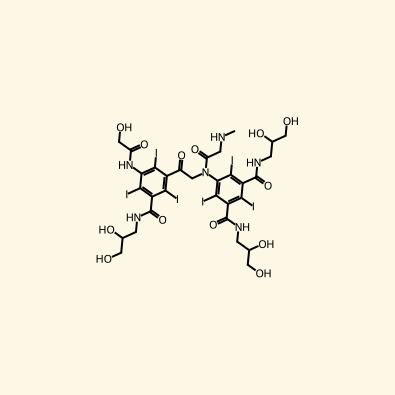 CNCC(=O)N(CC(=O)c1c(I)c(NC(=O)CO)c(I)c(C(=O)NCC(O)CO)c1I)c1c(I)c(C(=O)NCC(O)CO)c(I)c(C(=O)NCC(O)CO)c1I